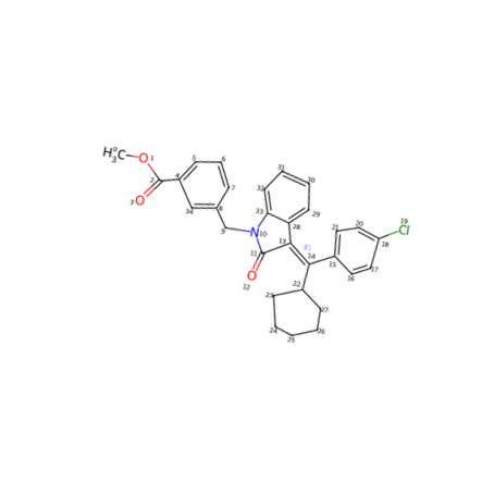 COC(=O)c1cccc(CN2C(=O)/C(=C(/c3ccc(Cl)cc3)C3CCCCC3)c3ccccc32)c1